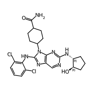 NC(=O)C1CCC(n2c(Nc3c(Cl)cccc3Cl)nc3cnc(N[C@@H]4CCC[C@H]4O)nc32)CC1